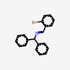 Brc1ccccc1C=NC(c1ccccc1)c1ccccc1